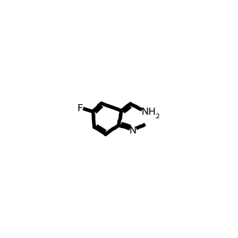 C/N=C1/C=CC(F)=C/C1=C/N